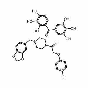 O=C(COc1ccc(Cl)cc1)N1CCN(Cc2ccc3c(c2)OCO3)CC1.O=C(c1cc(O)c(O)c(O)c1)c1ccc(O)c(O)c1O